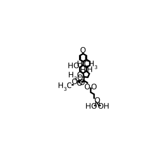 CCOC(=O)O[C@]1(C(=O)COC(=O)CCCON(O)O)CC[C@H]2[C@@H]3CCC4=CC(=O)C=C[C@]4(C)[C@H]3[C@@H](O)C[C@@]21C